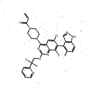 C=CC(=O)N1CCN(c2nc(OCC(F)(F)c3ccccn3)nc3c(F)c(-c4c(C)ccc5[nH]ncc45)c(Cl)cc23)CC1